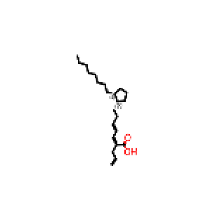 C=CCC(=CC=CCC[C@H]1CCC[C@@H]1CCCCCCCC)C(=O)O